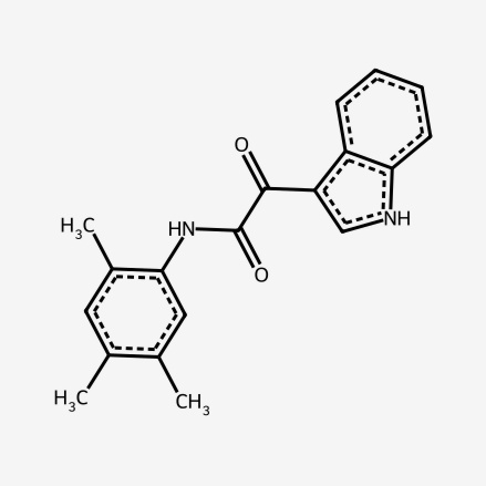 Cc1cc(C)c(NC(=O)C(=O)c2c[nH]c3ccccc23)cc1C